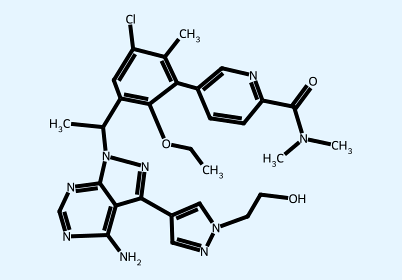 CCOc1c(C(C)n2nc(-c3cnn(CCO)c3)c3c(N)ncnc32)cc(Cl)c(C)c1-c1ccc(C(=O)N(C)C)nc1